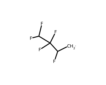 [CH2]C(F)C(F)(F)[C](F)F